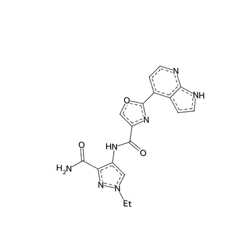 CCn1cc(NC(=O)c2coc(-c3ccnc4[nH]ccc34)n2)c(C(N)=O)n1